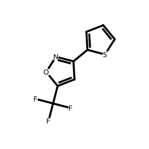 FC(F)(F)c1cc(-c2cccs2)no1